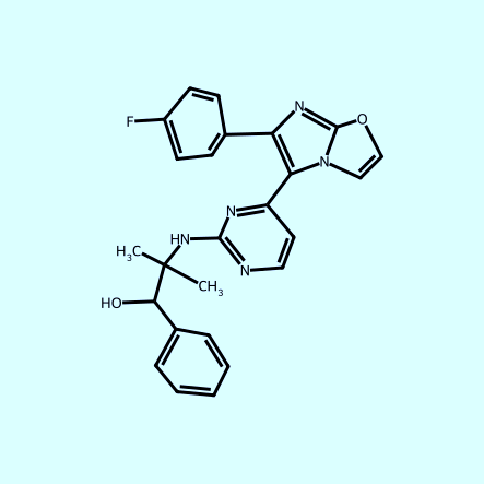 CC(C)(Nc1nccc(-c2c(-c3ccc(F)cc3)nc3occn23)n1)C(O)c1ccccc1